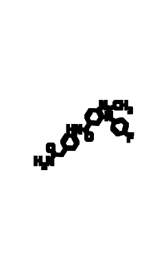 Cc1nc2ccc(C(=O)Nc3ccc(CC(N)=O)cc3)cc2n1-c1ccc(F)cc1